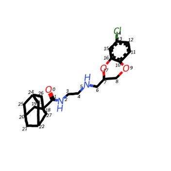 O=C(NCCNCC1COc2ccc(Cl)cc2O1)C12CC3CC(CC(C3)C1)C2